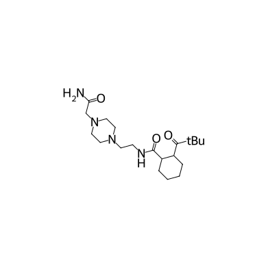 CC(C)(C)C(=O)C1CCCCC1C(=O)NCCN1CCN(CC(N)=O)CC1